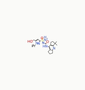 CC(C)n1nc(S(N)(=O)=NC(=O)Nc2c3c(nc4c2CCC4(C)C)CCC3)cc1CO